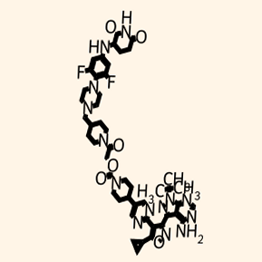 CC(C)(C)n1nc(-c2noc(C3CC3)c2-c2ncc(C3CCN(C(=O)OCC(=O)N4CCC(CN5CCN(c6c(F)cc(NC7CCC(=O)NC7=O)cc6F)CC5)CC4)CC3)cn2)c2c(N)ncnc21